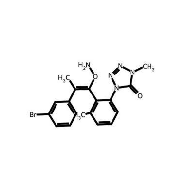 C/C(=C(\ON)c1c(C)cccc1-n1nnn(C)c1=O)c1cccc(Br)c1